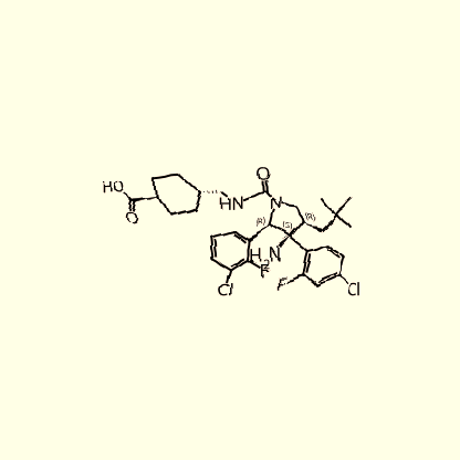 CC(C)(C)C[C@@H]1CN(C(=O)NC[C@H]2CC[C@H](C(=O)O)CC2)[C@H](c2cccc(Cl)c2F)[C@@]1(N)c1ccc(Cl)cc1F